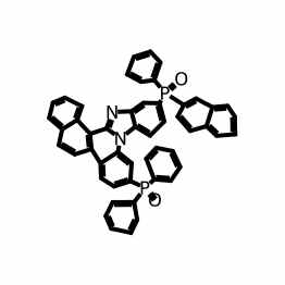 O=P(c1ccccc1)(c1ccc2ccccc2c1)c1ccc2c(c1)nc1c3c4ccccc4ccc3c3ccc(P(=O)(c4ccccc4)c4ccccc4)cc3n21